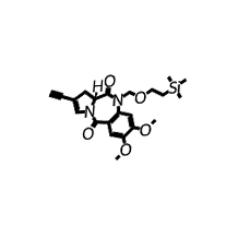 C#CC1=CN2C(=O)c3cc(OC)c(OC)cc3N(COCC[Si](C)(C)C)C(=O)[C@H]2C1